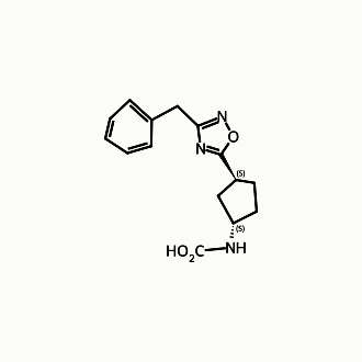 O=C(O)N[C@H]1CC[C@H](c2nc(Cc3ccccc3)no2)C1